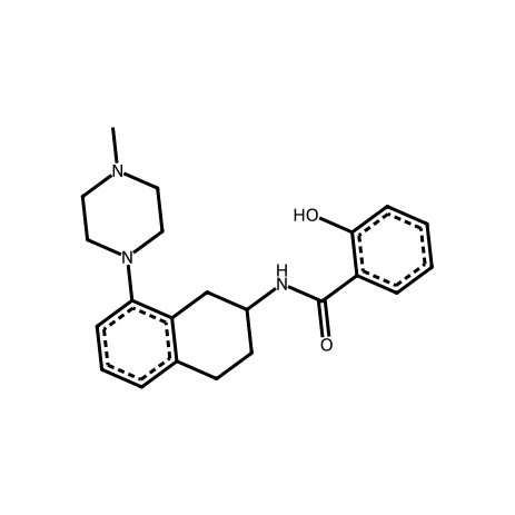 CN1CCN(c2cccc3c2CC(NC(=O)c2ccccc2O)CC3)CC1